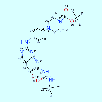 C[C@@H]1CN(c2ccc(Nc3ncc4cc(Br)c(NC(=O)NC(C)(C)C)nc4n3)cc2)C[C@H](C)N1C(=O)OC(C)(C)C